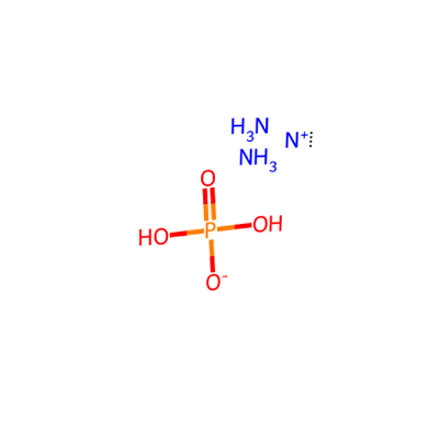 N.N.O=P([O-])(O)O.[N+]